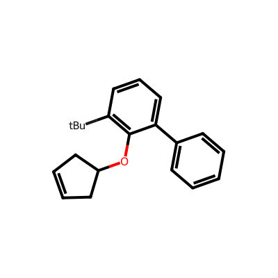 CC(C)(C)c1cccc(-c2ccccc2)c1OC1CC=CC1